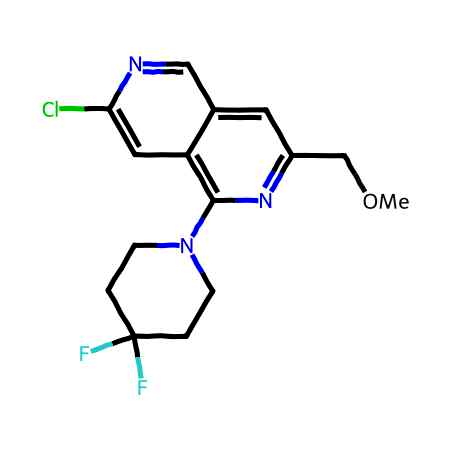 COCc1cc2cnc(Cl)cc2c(N2CCC(F)(F)CC2)n1